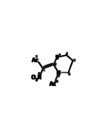 CC(=O)C(=C1SCCCN1C(C)=O)[N+](=O)[O-]